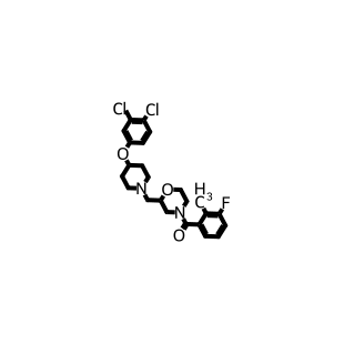 Cc1c(F)cccc1C(=O)N1CCOC(CN2CCC(Oc3ccc(Cl)c(Cl)c3)CC2)C1